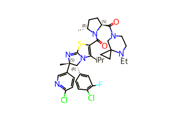 CCN1CCN(C(=O)[C@@H]2CC[C@@H](C)N2C(=O)C2=C(C(C)C)N3C(=N[C@@](C)(c4ccc(Cl)nc4)[C@H]3c3ccc(Cl)c(F)c3)S2)CC12CC2